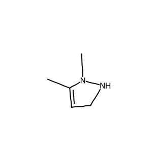 CC1=CCNN1C